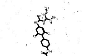 CCCCC(=O)NC1CCC(C2C(Cl)=CC(NC(N)NC(NN)NN=N)CC2Cl)CC1